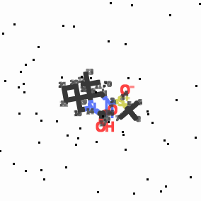 C[C@H](N[S@+]([O-])C(C)(C)C)C1(C(C)(C)C)N(C(=O)O)CC12CCC2